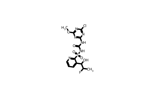 COc1nc(Cl)nc(NC(=O)NS(=O)(=O)c2ncccc2C(O)C(C)F)n1